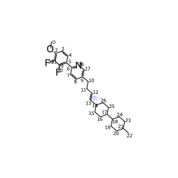 COc1ccc(-c2ccc(CC/C=C/C3CCC(C4CCC(C)CC4)CC3)cn2)c(F)c1F